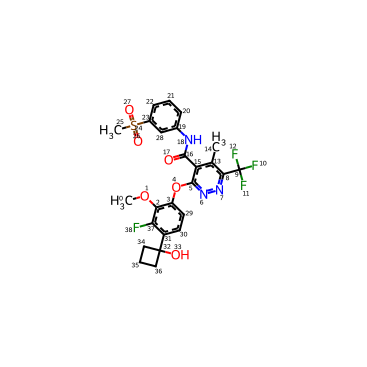 COc1c(Oc2nnc(C(F)(F)F)c(C)c2C(=O)Nc2cccc(S(C)(=O)=O)c2)ccc(C2(O)CCC2)c1F